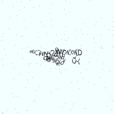 CC(C)c1ccccc1[C@@H]1COCCN1C1CC2(CCN(c3ccc(C(=O)NS(=O)(=O)c4ccc(NC[C@H]5CC[C@](C)(O)CC5)c([N+](=O)[O-])c4)c(N4c5cc6cc[nH]c6nc5O[C@H]5COC(C)(C)C[C@@H]54)c3)CC2)C1